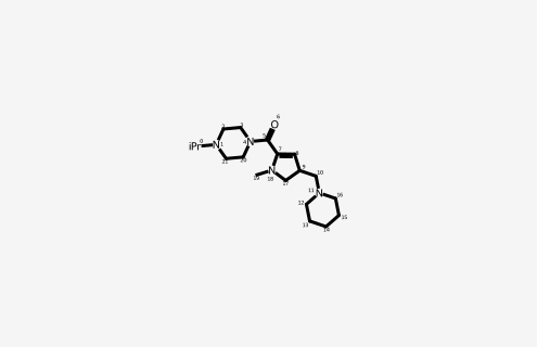 CC(C)N1CCN(C(=O)C2=CC(CN3CCCCC3)CN2C)CC1